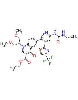 CCNC(=O)Nc1cc(-c2nc(C(F)(F)F)cs2)c(-c2ccc3c(c2)c(=O)c(C(=O)OCC)cn3C(COC)COC)cn1